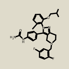 Cc1cccc(OCC(C)C)c1-n1nc2c(c1-c1ccc(NC(N)=O)cc1)CN(Cc1cc(F)ccc1F)CC2